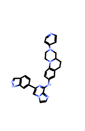 c1cc(N2CCN3c4ccc(Nc5nc(-c6ccc7cn[nH]c7c6)cn6ccnc56)cc4CCC3C2)ccn1